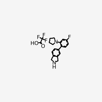 Fc1ccc(-c2ccc3c(c2)CNC3)c(N2CCCC2)c1.O=C(O)C(F)(F)F